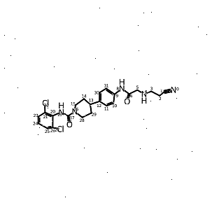 N#CCCNCC(=O)Nc1ccc(C2CCN(C(=O)Nc3c(Cl)cccc3Cl)CC2)cc1